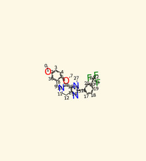 COc1ccc(OC)c(CN2CCc3nc(-c4cccc(C(F)(F)F)c4)n(C)c3C2)c1